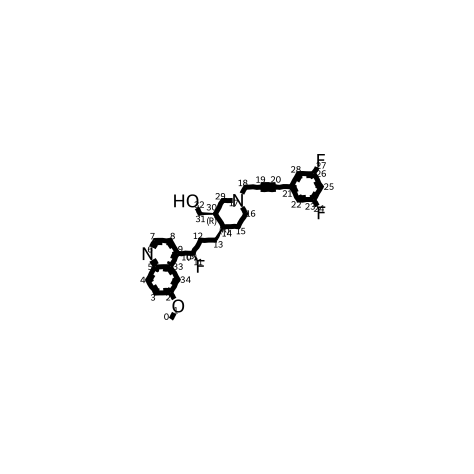 COc1ccc2nccc([C@@H](F)CC[C@@H]3CCN(CC#Cc4cc(F)cc(F)c4)C[C@@H]3CO)c2c1